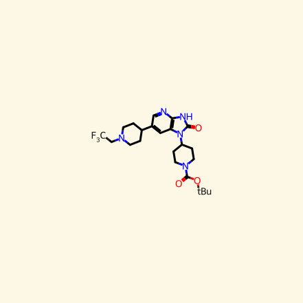 CC(C)(C)OC(=O)N1CCC(n2c(=O)[nH]c3ncc(C4CCN(CC(F)(F)F)CC4)cc32)CC1